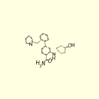 NC(=O)c1ccc(-c2ccccc2Cc2ccccn2)cc1N[C@H]1CC[C@H](O)CC1